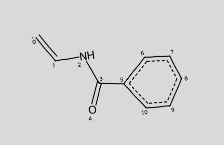 [CH]=CNC(=O)c1ccccc1